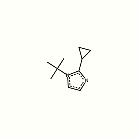 CC(C)(C)n1ccnc1C1CC1